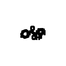 Cc1n[c]cn1C(O)C(=O)N1CCSCC1